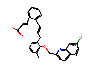 Cc1cccc(CC=Cc2ccccc2C=CC(=O)O)c1OCc1ccc2ccc(Cl)cc2n1